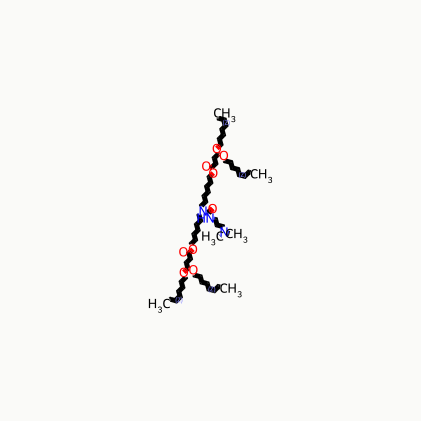 CC/C=C\CCCCOC(CCC(=O)OCCCCCCCN(CCCCCCCOC(=O)CCC(OCCCC/C=C\CC)OCCCC/C=C\CC)C(=O)NCCCN(C)C)OCCCC/C=C\CC